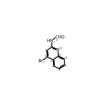 O=CNc1cc(Br)c2ccccc2n1